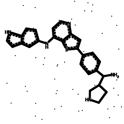 NC(c1ccc(-c2cc3nccc(Nc4ccc5[nH]ccc5c4)c3s2)cc1)C1CCNC1